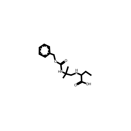 CCC(NCC(C)(C)NC(=O)OCc1ccccc1)C(=O)O